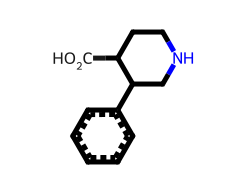 O=C(O)C1CCNCC1c1ccccc1